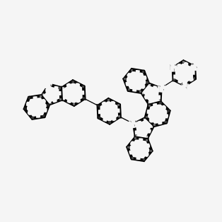 c1ccc2c(c1)sc1ccc(-c3ccc(-n4c5ccccc5c5ccc6c(c7ccccc7n6-c6ncncn6)c54)cc3)cc12